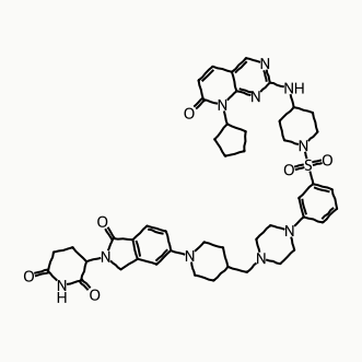 O=C1CCC(N2Cc3cc(N4CCC(CN5CCN(c6cccc(S(=O)(=O)N7CCC(Nc8ncc9ccc(=O)n(C%10CCCC%10)c9n8)CC7)c6)CC5)CC4)ccc3C2=O)C(=O)N1